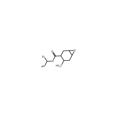 CCCC(CC)OC(=O)C1CC2OC2CC1C(=O)O